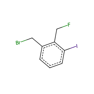 FCc1c(I)cccc1CBr